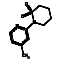 Cc1ccnc(N2CCCCS2(=O)=O)c1